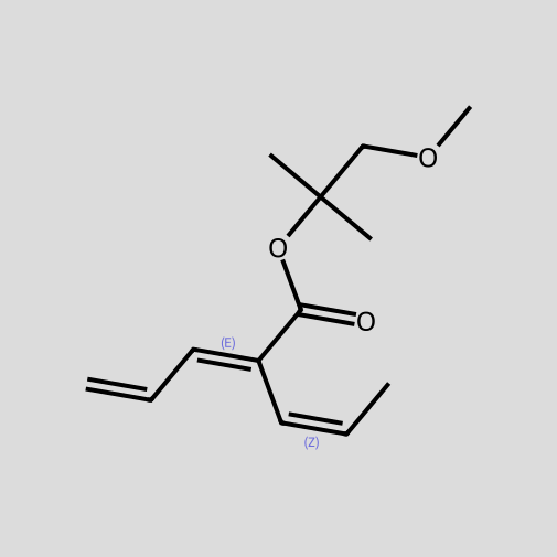 C=C/C=C(\C=C/C)C(=O)OC(C)(C)COC